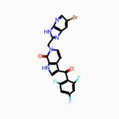 O=C(c1c(F)cc(F)cc1F)c1c[nH]c2c(=O)n(Cc3nc4cc(Br)cnc4[nH]3)ccc12